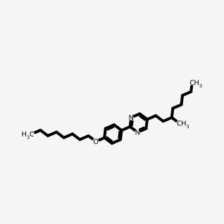 CCCCCCCCOc1ccc(-c2ncc(CCC(C)CCCCC)cn2)cc1